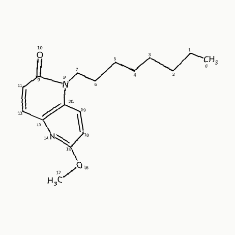 CCCCCCCCn1c(=O)ccc2nc(OC)ccc21